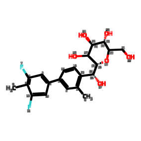 Cc1cc(-c2cc(F)c(C)c(F)c2)ccc1[C@@H](O)[C@H]1OC(CO)[C@@H](O)[C@H](O)C1O